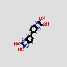 Oc1nc2ccc(-c3ccc4nc(O)c(O)nc4c3)cc2nc1O